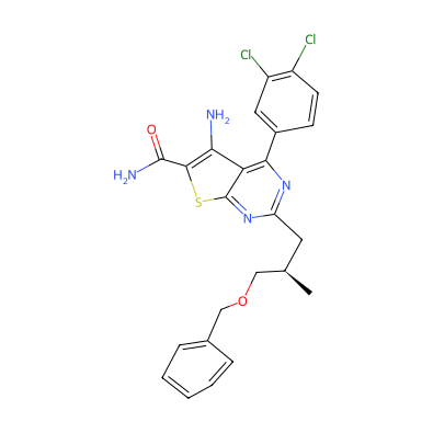 C[C@@H](COCc1ccccc1)Cc1nc(-c2ccc(Cl)c(Cl)c2)c2c(N)c(C(N)=O)sc2n1